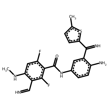 CNc1cc(F)c(C(=O)Nc2ccc(N)c(C(=N)c3ccc(C)s3)c2)c(F)c1C=N